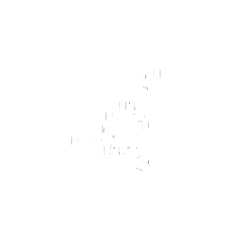 COC[C@@H](C=O)NP(=O)(OCC(C)(C)[C@@H](O)C(=O)NCCC(=O)OC)Oc1ccccc1